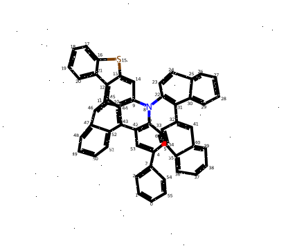 c1ccc(-c2ccc(N(c3ccc4c(c3)sc3ccccc34)c3ccc4ccccc4c3-c3ccc4ccccc4c3)c(-c3cccc4ccccc34)c2)cc1